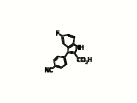 N#Cc1ccc(-c2c(C(=O)O)[nH]c3ccc(F)cc23)cc1